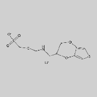 O=S(=O)([O-])CCCNCC1COc2cscc2O1.[Li+]